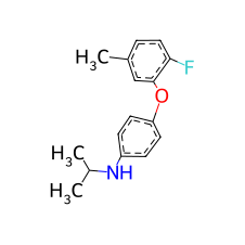 Cc1ccc(F)c(Oc2ccc(NC(C)C)cc2)c1